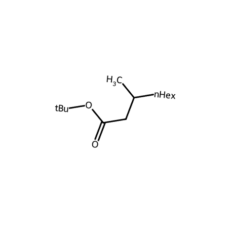 CCCCCCC(C)CC(=O)OC(C)(C)C